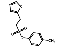 Cc1ccc(OS(=O)(=O)CCc2cccs2)cc1